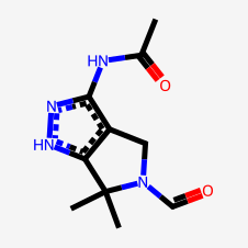 CC(=O)Nc1n[nH]c2c1CN(C=O)C2(C)C